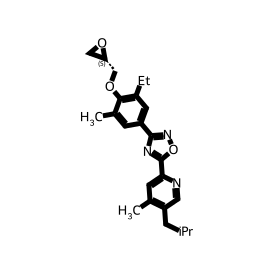 CCc1cc(-c2noc(-c3cc(C)c(CC(C)C)cn3)n2)cc(C)c1OC[C@@H]1CO1